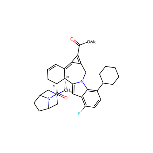 COC(=O)C1=C2Cn3c(cc4c(F)ccc(C5CCCCC5)c43)[C@@H]3C(=C21)C=CC[C@H]3C(=O)N1C2CCC1CN(C)C2